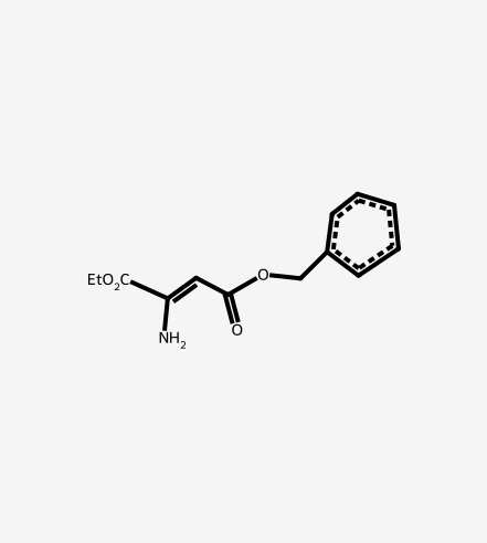 CCOC(=O)C(N)=CC(=O)OCc1ccccc1